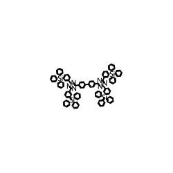 c1ccc([Si](c2ccccc2)(c2ccccc2)c2cccc(-c3nc(-c4ccc(-c5ccc(-c6nc(-c7cccc([Si](c8ccccc8)(c8ccccc8)c8ccccc8)c7)nc(-c7cccc([Si](c8ccccc8)(c8ccccc8)c8ccccc8)c7)n6)cc5)cc4)nc(-c4cccc([Si](c5ccccc5)(c5ccccc5)c5ccccc5)c4)n3)c2)cc1